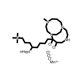 CCCCCCCC(CCCCC1(Cl)C(Cl)CNCCN2CCCN(C)CCN1CC2)CCC[N+](C)(C)C.[Cl-].[Cl-].[Cl-].[Mn+2]